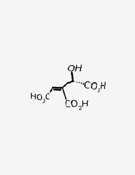 O=C(O)/C=C(\C(=O)O)[C@H](O)C(=O)O